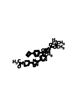 CC(=O)N1CCC(c2nc(-c3cncc(C(O)(c4ccc(C5CCC5)cc4)C4(C)CN(C(=O)OC(C)(C)C)C4)c3)no2)CC1